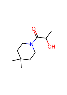 CC(O)C(=O)N1CCC(C)(C)CC1